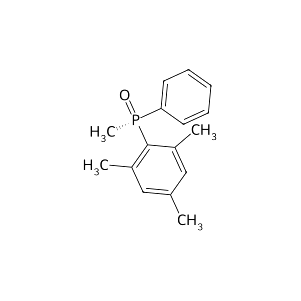 Cc1cc(C)c([P@@](C)(=O)c2ccccc2)c(C)c1